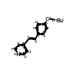 CCCCOc1ccc(C=Cc2ccncc2)cc1